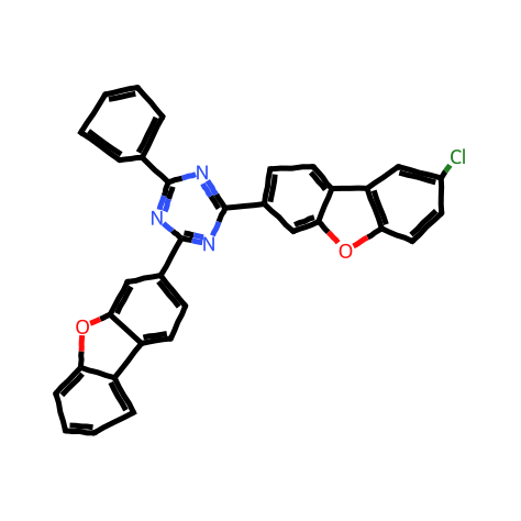 Clc1ccc2oc3cc(-c4nc(-c5ccccc5)nc(-c5ccc6c(c5)oc5ccccc56)n4)ccc3c2c1